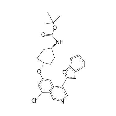 CC(C)(C)OC(=O)N[C@H]1CC[C@H](Oc2cc(Cl)c3cncc(-c4cc5ccccc5o4)c3c2)CC1